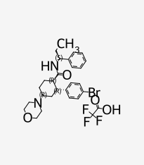 CC[C@H](NC(=O)[C@@H]1CC[C@@H](N2CCOCC2)C[C@H]1c1ccc(Br)cc1)c1ccccc1.O=C(O)C(F)(F)F